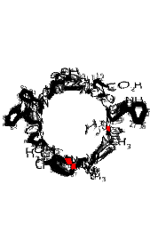 CC1NC(=O)CC(C(=O)N2CCC[C@H]2C(=O)O)CC(=O)[C@H](Cc2c[nH]c3ccccc23)N2C(=O)[C@@H](C2C)N(C)C(=O)[C@H](CCS(C)(=O)=O)NC(=O)[C@H](Cc2ccc(Cl)cc2)N(C)C(=O)CN(C)C(=O)[C@@H]2CCCN2C(=O)C(Cc2c[nH]c3ccccc23)NC(=O)[C@H](Cc2ccccc2)N(C)C(=O)[C@H](CCS(C)(=O)=O)NC1=O